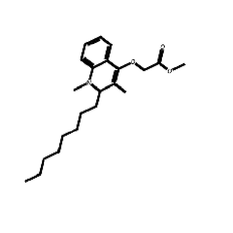 CCCCCCCCC1C(C)=C(OCC(=O)OC)c2ccccc2N1C